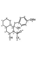 COc1ccc(C[C@]2(O)C3CCCCC3CC(O)N2C(=O)C(F)(F)F)cc1